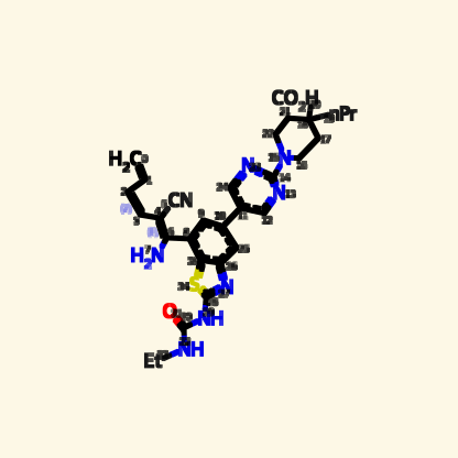 C=C/C=C\C(C#N)=C(/N)c1cc(-c2cnc(N3CCC(CCC)(C(=O)O)CC3)nc2)cc2nc(NC(=O)NCC)sc12